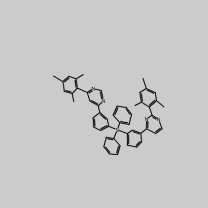 Cc1cc(C)c(-c2cc(-c3cccc([Si](c4ccccc4)(c4ccccc4)c4cccc(-c5ccnc(-c6c(C)cc(C)cc6C)n5)c4)c3)ncn2)c(C)c1